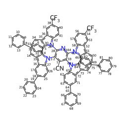 N#Cc1c(-n2c3ccc(-c4ccccc4)cc3c3cc(-c4ccccc4)ccc32)c(-n2c3ccccc3c3cc(C(F)(F)F)ccc32)nc(-n2c3ccccc3c3cc(C(F)(F)F)ccc32)c1-n1c2ccc(-c3ccccc3)cc2c2cc(-c3ccccc3)ccc21